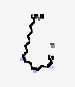 CC/C=C\C/C=C\C/C=C\CCCCCCCC(=O)O.[Ti]